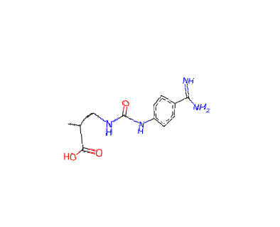 CC(CNC(=O)Nc1ccc(C(=N)N)cc1)C(=O)O